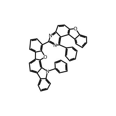 c1ccc(-c2nc(-c3cccc4c3oc3c4ccc4c5ccccc5n(-c5ccccc5)c43)nc3ccc4oc5ccccc5c4c23)cc1